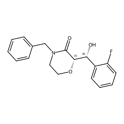 O=C1[C@H]([C@H](O)c2ccccc2F)OCCN1Cc1ccccc1